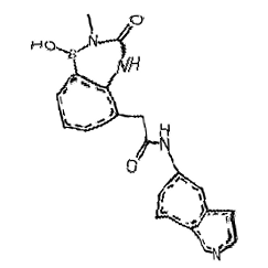 CN1B(O)c2cccc(CC(=O)Nc3ccc4cnccc4c3)c2NC1=O